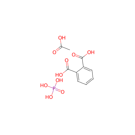 CC(=O)O.O=C(O)c1ccccc1C(=O)O.O=P(O)(O)O